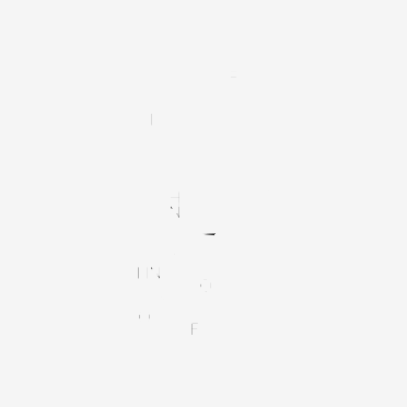 O=C1N[C@]2(CCN[C@H]2Cc2cccc(-c3cc(F)cc(F)c3)c2F)COC1F